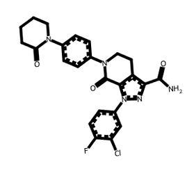 NC(=O)c1nn(-c2ccc(F)c(Cl)c2)c2c1CCN(c1ccc(N3CCCCC3=O)cc1)C2=O